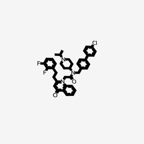 CC(C)N1CCC(N(Cc2ccc(-c3ccc(Cl)cc3)cc2)C(=O)Cn2c(CCc3cccc(F)c3F)cc(=O)c3ccccc32)CC1